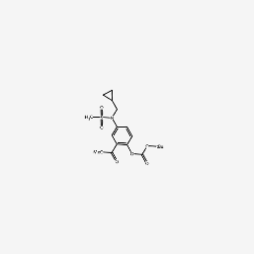 COC(=O)c1cc(N(CC2CC2)S(C)(=O)=O)ccc1OC(=O)OC(C)(C)C